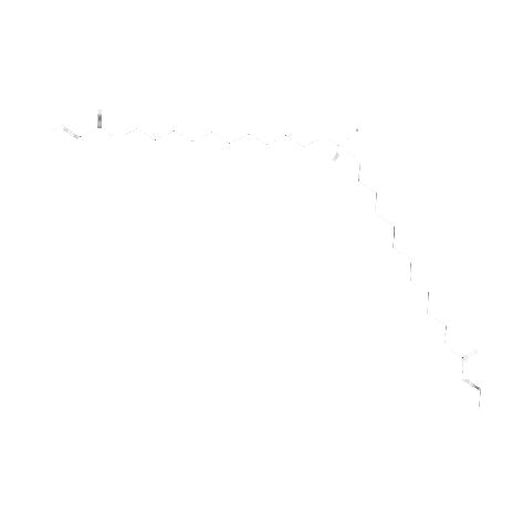 CC=CC(=O)OCCCCCCCCCCOP(=O)(O)OCCCCCCCCCCOC(=O)C=CC